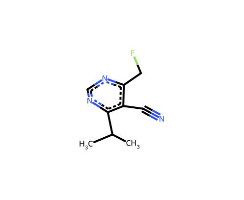 CC(C)c1ncnc(CF)c1C#N